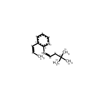 C/C=C\c1cccnc1/N=C\CC(C)(C)C